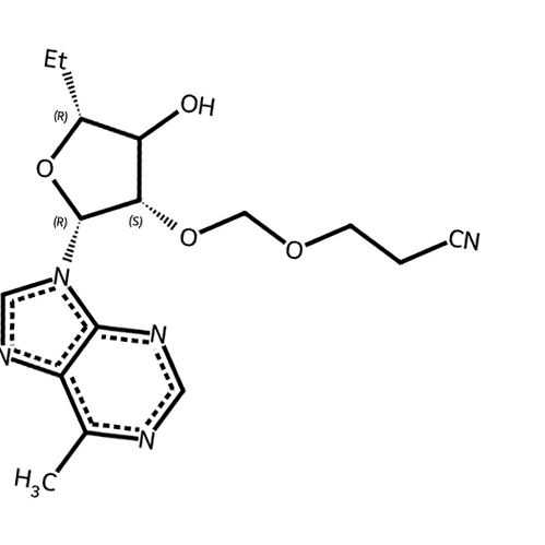 CC[C@H]1O[C@@H](n2cnc3c(C)ncnc32)[C@@H](OCOCCC#N)C1O